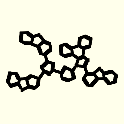 c1cc(-c2nc(-c3ccc4sc5ccccc5c4c3)nc(-c3ccc4sc5ccccc5c4c3)n2)cc(-n2c(-c3cccc4c3sc3ccccc34)nc3c4ccccc4c4ccccc4c32)c1